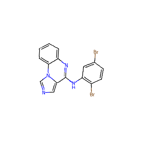 Brc1ccc(Br)c(Nc2nc3ccccc3n3cncc23)c1